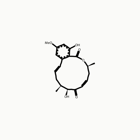 COc1cc(O)c2c(c1)/C=C/C[C@H](C)[C@H](O)C(=O)/C=C\C[C@H](C)OC2=O